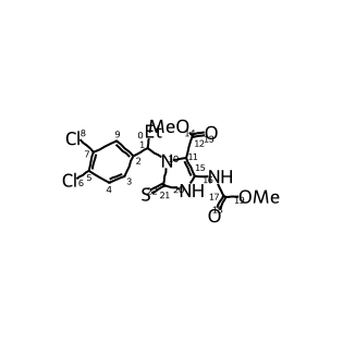 CCC(c1ccc(Cl)c(Cl)c1)n1c(C(=O)OC)c(NC(=O)OC)[nH]c1=S